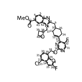 COC(=O)c1ccc2nc(CC3CC=C(c4nc(OCc5ccc(Cl)c6cc(F)oc56)ncc4F)CC3)n(C[C@@H]3CCO3)c2c1